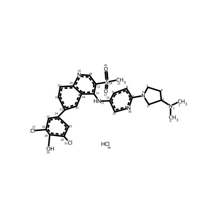 CN(C)C1CCN(c2ccc(Nc3c(S(C)(=O)=O)cnc4ccc(-c5cc(Cl)c(O)c(Cl)c5)cc34)cn2)C1.Cl